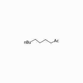 CCCCCCCCC(C)=O